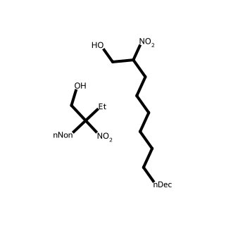 CCCCCCCCCC(CC)(CO)[N+](=O)[O-].CCCCCCCCCCCCCCCCC(CO)[N+](=O)[O-]